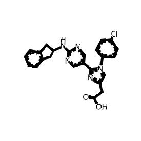 O=C(O)Cc1cn(-c2ccc(Cl)cc2)c(-c2cnc(NC3Cc4ccccc4C3)nc2)n1